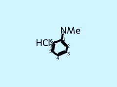 CNc1cc[c]cc1.Cl